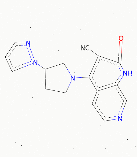 N#Cc1c(N2CCC(n3cccn3)C2)c2ccncc2[nH]c1=O